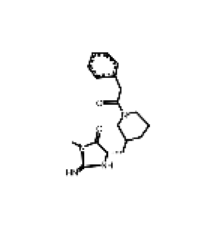 CN1C(=N)N[C@@H](CC2CCCN(C(=O)Cc3ccccc3)C2)C1=O